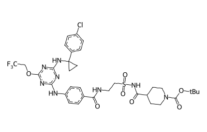 CC(C)(C)OC(=O)N1CCC(C(=O)NS(=O)(=O)CCNC(=O)c2ccc(Nc3nc(NC4(c5ccc(Cl)cc5)CC4)nc(OCC(F)(F)F)n3)cc2)CC1